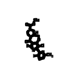 Cc1ccc(I)c(-c2nc(F)c3c(c2Cl)OC[C@H]2CN(C(=O)OC(C)(C)C)CCN2C3=O)n1